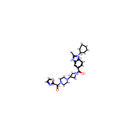 Cc1nc2cc(C(=O)N3CC(N4CCN(C(=O)c5nccs5)CC4)C3)ccc2n1C1CCCCC1